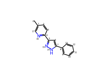 Cc1ccc(-c2cc(-c3ccccc3)[nH]n2)nc1